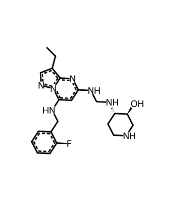 CCc1cnn2c(NCc3ccccc3F)cc(NCN[C@H]3CCNC[C@@H]3O)nc12